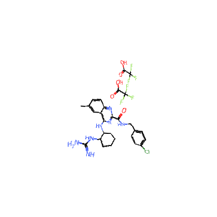 Cc1ccc2nc(C(=O)NCc3ccc(Cl)cc3)nc(NC3CCCCC3NC(=N)N)c2c1.O=C(O)C(F)(F)F.O=C(O)C(F)(F)F